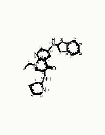 CCn1cc(Nc2ccccn2)c(=O)c2cc(NC3Cc4ccccc4C3)cnc21